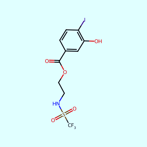 O=C(OCCNS(=O)(=O)C(F)(F)F)c1ccc(I)c(O)c1